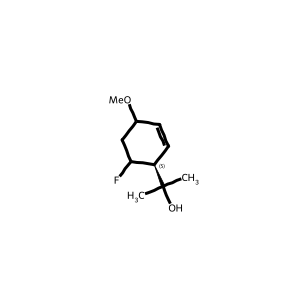 COC1C=C[C@@H](C(C)(C)O)C(F)C1